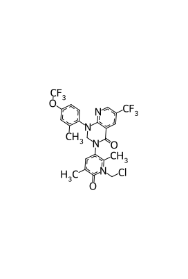 Cc1cc(OC(F)(F)F)ccc1N1CN(c2cc(C)c(=O)n(CCl)c2C)C(=O)c2cc(C(F)(F)F)cnc21